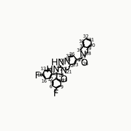 N=C1NC(c2ccc(F)cc2)(c2ccc(F)cc2)C(=O)N1Cc1cc(C(=O)N2Cc3ccccc3C2)ccn1